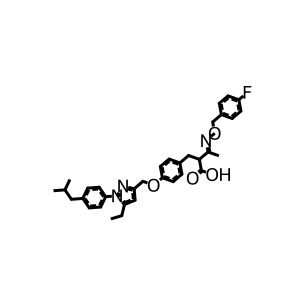 CCc1cc(COc2ccc(CC(C(=O)O)C(C)=NOCc3ccc(F)cc3)cc2)nn1-c1ccc(CC(C)C)cc1